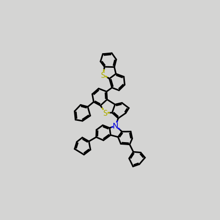 c1ccc(-c2ccc3c(c2)c2cc(-c4ccccc4)ccc2n3-c2cccc3c2sc2c(-c4ccccc4)ccc(-c4cccc5c4sc4ccccc45)c23)cc1